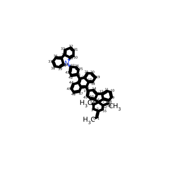 CC=C1CC(C)C2(c3ccccc3-c3cc(-c4c5ccccc5c(-c5ccc(-n6c7ccccc7c7ccccc76)cc5)c5ccccc45)ccc32)C(CC)C1